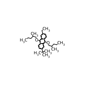 CCCC(C)COc1c2ccc(C(C)(C)C)cc2c(OCC(C)CCC)c2ccc(CC)cc12